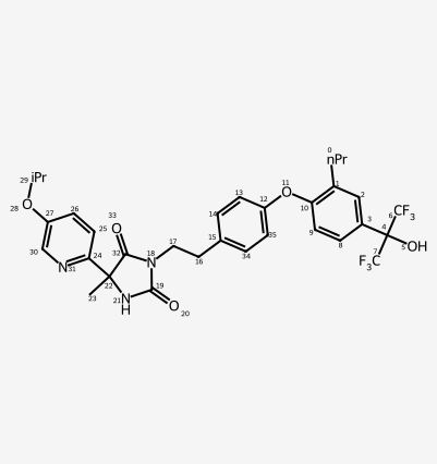 CCCc1cc(C(O)(C(F)(F)F)C(F)(F)F)ccc1Oc1ccc(CCN2C(=O)NC(C)(c3ccc(OC(C)C)cn3)C2=O)cc1